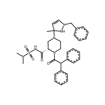 CN(C)S(=O)(=O)NC(=O)[C@@H]1CN(C2(C)C=CN(Cc3ccccc3)N2)CCN1C(=O)C(c1ccccc1)c1ccccc1